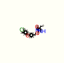 CCc1c[nH]c(OCCc2ccc(Oc3ccc(Cl)c(C)c3)cc2)nc1=O